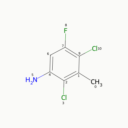 Cc1c(Cl)c(N)cc(F)c1Cl